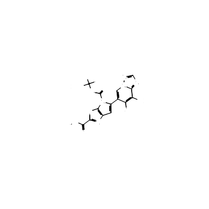 COC(=O)c1nc2cc(-c3cn4ncnc4c(C)c3C)n(C(=O)OC(C)(C)C)c2s1